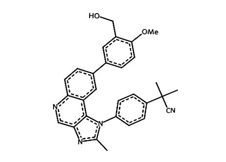 COc1ccc(-c2ccc3ncc4nc(C)n(-c5ccc(C(C)(C)C#N)cc5)c4c3c2)cc1CO